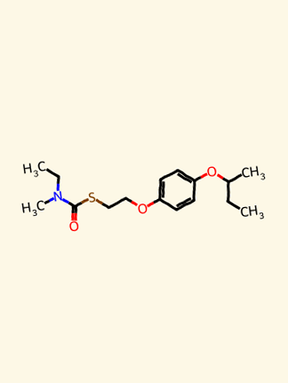 CCC(C)Oc1ccc(OCCSC(=O)N(C)CC)cc1